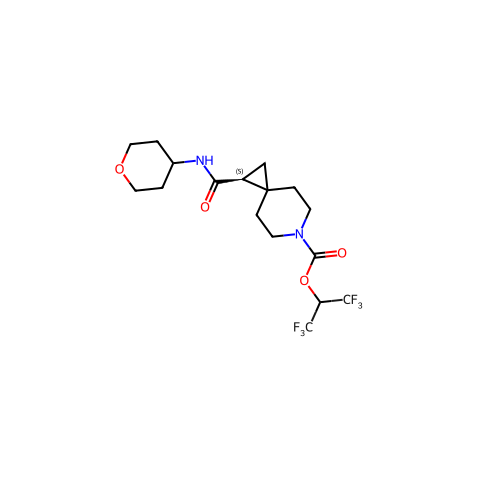 O=C(NC1CCOCC1)[C@H]1CC12CCN(C(=O)OC(C(F)(F)F)C(F)(F)F)CC2